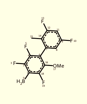 Bc1c(F)c(F)c(-c2cc(F)cc(F)c2C)c(OC)c1F